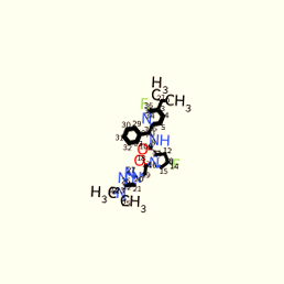 CC(C)c1ccc([C@@H](NC(=O)[C@@H]2C[C@@H](F)CN2C(=O)Cn2cc(N(C)C)nn2)c2ccccc2)nc1F